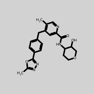 Cc1nnc(-c2ccc(Cc3cc(C(=O)NC4CCOCC4O)ncc3C)cc2)o1